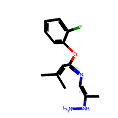 CC(C)=C/C(=N\C=C(/C)NN)Oc1ccccc1F